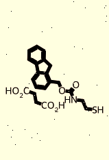 O=C(NCCS)OCc1cccc2c1Cc1ccccc1-2.O=C(O)CCC(=O)O